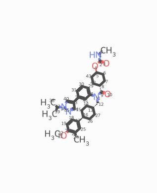 CNC(=O)O[C@H]1CC[C@H](C(=O)N(C[C@H]2CC[C@H](c3ccc(OC)c(C)c3)CC2)c2cccc(-c3cnn(C(C)C)c3)c2)CC1